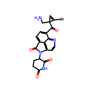 CC(C)C1=CC1(CN)C(=O)c1ccc2c3c(ccnc13)N(C1CCC(=O)NC1=O)C2=O